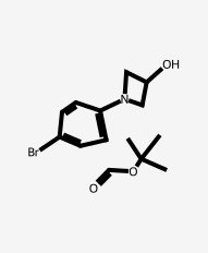 CC(C)(C)OC=O.OC1CN(c2ccc(Br)cc2)C1